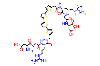 N=C(N)NCCC[C@H](NC(=O)CNC(=O)[C@@H](N)CC(=O)O)C(=O)NCc1ccc(-c2ccc(-c3ccc(-c4ccc(CC(=O)N[C@@H](CCCNC(=N)N)C(=O)NCC(=O)N[C@@H](CC(=O)O)C(=O)O)s4)s3)s2)s1